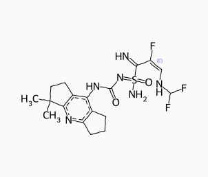 CC1(C)CCc2c1nc1c(c2NC(=O)N=S(N)(=O)C(=N)/C(F)=C\NC(F)F)CCC1